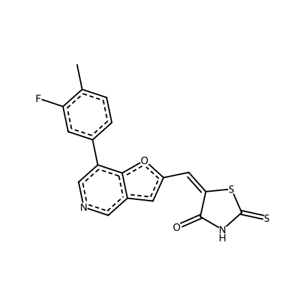 Cc1ccc(-c2cncc3cc(C=C4SC(=S)NC4=O)oc23)cc1F